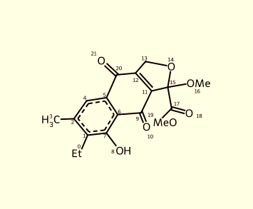 CCc1c(C)cc2c(c1O)C(=O)C1=C(COC1(OC)C(=O)OC)C2=O